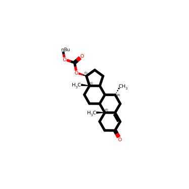 CCCCOC(=O)O[C@H]1CCC2C3C(CC[C@@]21C)[C@@]1(C)CCC(=O)C=C1C[C@H]3C